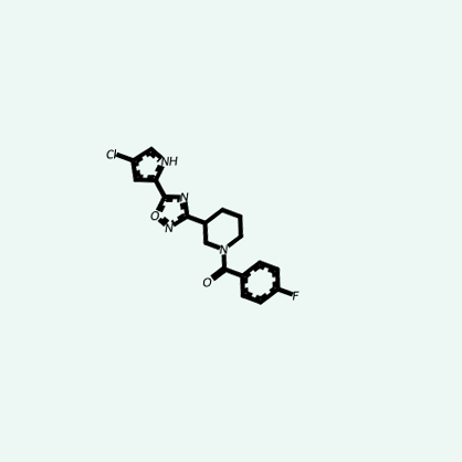 O=C(c1ccc(F)cc1)N1CCCC(c2noc(-c3cc(Cl)c[nH]3)n2)C1